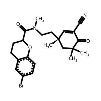 CN(CC[C@]1(C)C=C(C#N)C(=O)C(C)(C)C1)C(=O)C1CCc2cc(Br)ccc2O1